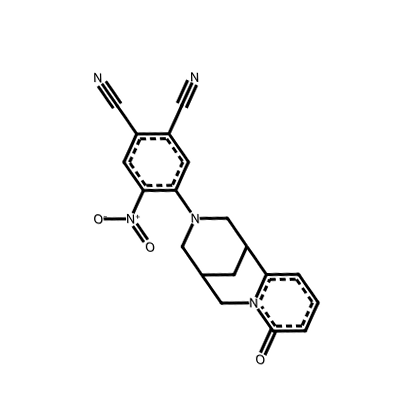 N#Cc1cc(N2CC3CC(C2)c2cccc(=O)n2C3)c([N+](=O)[O-])cc1C#N